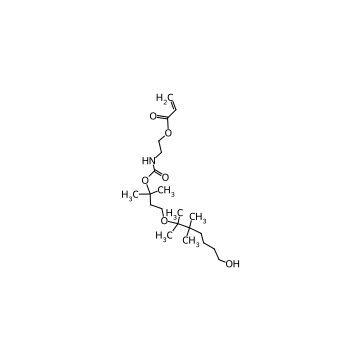 C=CC(=O)OCCNC(=O)OC(C)(C)CCOC(C)(C)C(C)(C)CCCCO